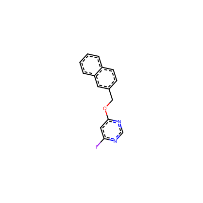 Ic1cc(OCc2ccc3ccccc3c2)ncn1